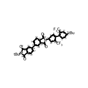 CC(C)(C)c1ccc(-c2ccc(N3C(=O)c4ccc(-c5ccc6c(c5)C(=O)N(C(C)(C)C)C6=O)cc4C3=O)cc2C(F)(F)F)c(C(F)(F)F)c1